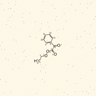 CCOOC(=O)C(=O)c1ccccc1